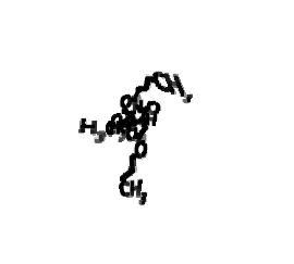 CCCCO[C@@H]1C[C@H]2C(=O)N3[C@H](CCCC)OC[C@@]3(C(=O)OC)[C@@]2(C)O1